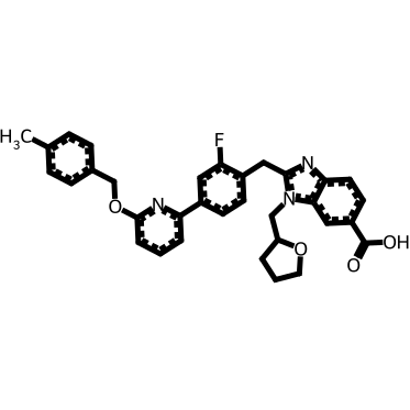 Cc1ccc(COc2cccc(-c3ccc(Cc4nc5ccc(C(=O)O)cc5n4CC4CCCO4)c(F)c3)n2)cc1